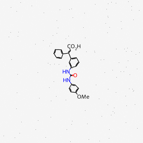 COc1ccc(NC(=O)Nc2cccc(C(=CC(=O)O)c3ccccc3)c2)cc1